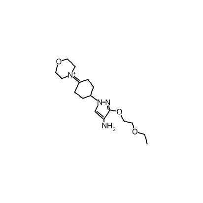 CCOCCOc1nn(C2CCC(=[N+]3CCOCC3)CC2)cc1N